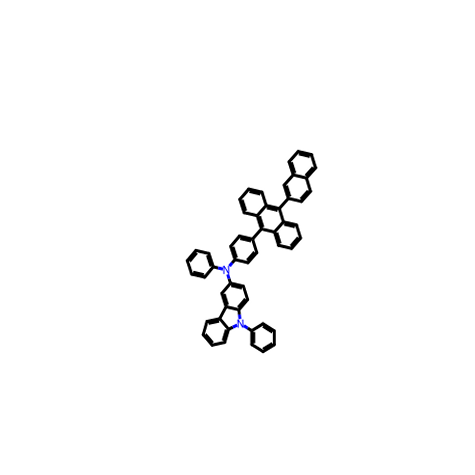 c1ccc(N(c2ccc(-c3c4ccccc4c(-c4ccc5ccccc5c4)c4ccccc34)cc2)c2ccc3c(c2)c2ccccc2n3-c2ccccc2)cc1